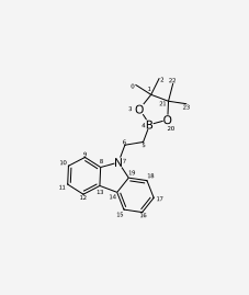 CC1(C)OB(CCn2c3ccccc3c3ccccc32)OC1(C)C